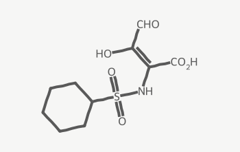 O=CC(O)=C(NS(=O)(=O)C1CCCCC1)C(=O)O